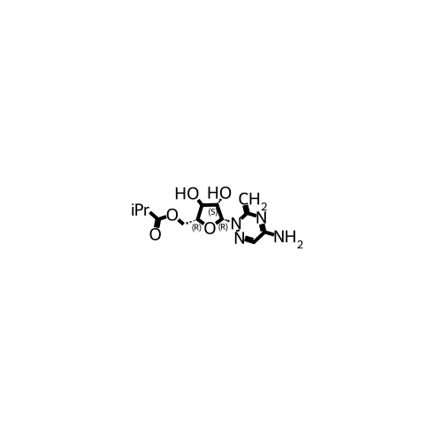 C=C1N=C(N)C=NN1[C@@H]1O[C@H](COC(=O)C(C)C)C(O)[C@@H]1O